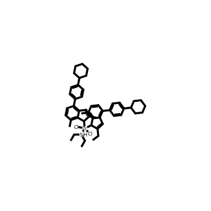 CCC1=Cc2c(-c3ccc(C4CCCCC4)cc3)ccc(C)c2[CH]1[Zr]([Cl])([Cl])([CH]1C(C)=Cc2c(-c3ccc(C4CCCCC4)cc3)ccc(C)c21)[SiH](CC)CC